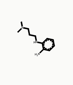 CN(C)CCCNc1ccccc1N